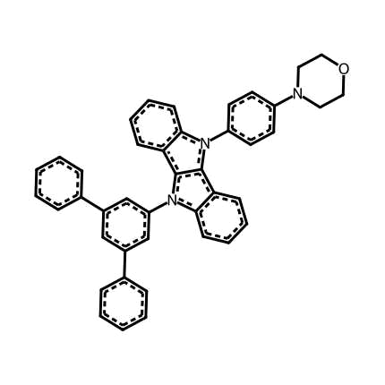 c1ccc(-c2cc(-c3ccccc3)cc(-n3c4ccccc4c4c3c3ccccc3n4-c3ccc(N4CCOCC4)cc3)c2)cc1